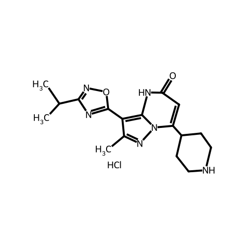 Cc1nn2c(C3CCNCC3)cc(=O)[nH]c2c1-c1nc(C(C)C)no1.Cl